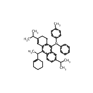 Cc1ccc(N(c2ccccc2)c2c3c(c(C(C)C4=CCCCC4)c4ccc(C(C)C)cc24)C=C(C(C)C)CC3)cc1